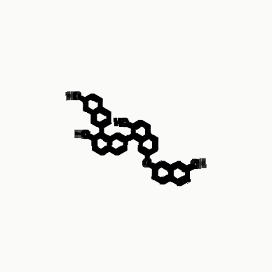 Oc1ccc2ccc(Oc3ccc4ccc(O)c(-c5ccc6ccc(O)c(-c7ccc8ccc(O)cc8c7)c6c5)c4c3)cc2c1